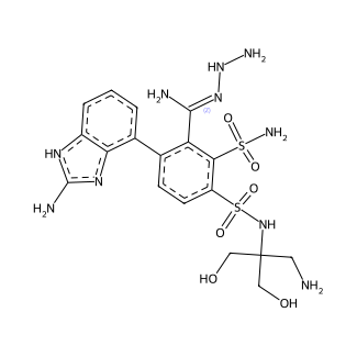 NCC(CO)(CO)NS(=O)(=O)c1ccc(-c2cccc3[nH]c(N)nc23)c(/C(N)=N/NN)c1S(N)(=O)=O